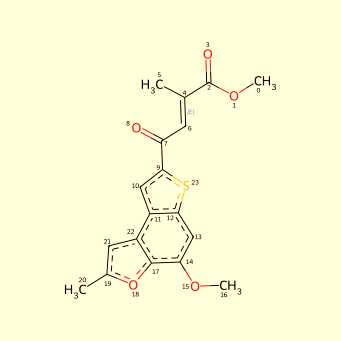 COC(=O)/C(C)=C/C(=O)c1cc2c(cc(OC)c3oc(C)cc32)s1